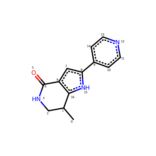 CC1CNC(=O)c2cc(-c3ccncc3)[nH]c21